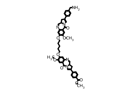 COC(=O)c1ccc(C2=CN3C(=O)c4cc(OC)c(OCCCCCOc5cc6c(cc5OC)C(=O)N5C=C(c7ccc(CN)cc7)CC5C=N6)cc4N=CC3C2)cc1